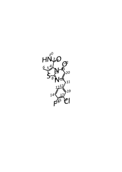 CNC(=O)c1c(C)sc2nc(Cc3ccc(F)c(Cl)c3)cc(=O)n12